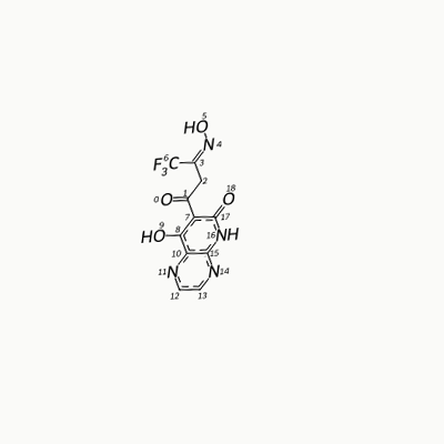 O=C(C/C(=N/O)C(F)(F)F)c1c(O)c2nccnc2[nH]c1=O